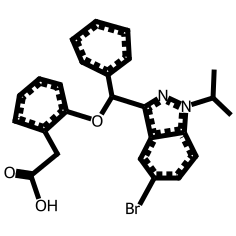 CC(C)n1nc(C(Oc2ccccc2CC(=O)O)c2ccccc2)c2cc(Br)ccc21